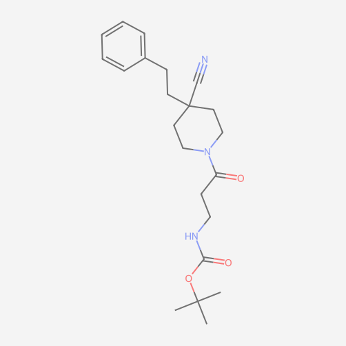 CC(C)(C)OC(=O)NCCC(=O)N1CCC(C#N)(CCc2ccccc2)CC1